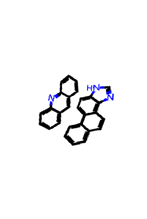 c1ccc2c(c1)ccc1c2ccc2[nH]cnc21.c1ccc2nc3ccccc3cc2c1